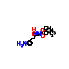 CC(C)(C)OC(=O)NCC(O)CCc1cccc(N)c1